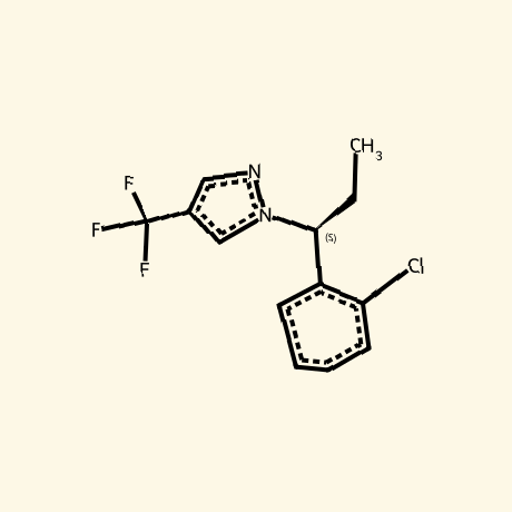 CC[C@@H](c1ccccc1Cl)n1cc(C(F)(F)F)cn1